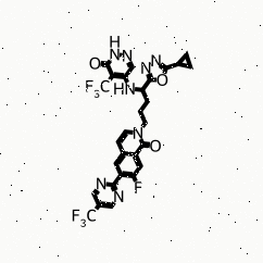 O=c1[nH]ncc(NC(CCCn2ccc3cc(-c4ncc(C(F)(F)F)cn4)c(F)cc3c2=O)c2nnc(C3CC3)o2)c1C(F)(F)F